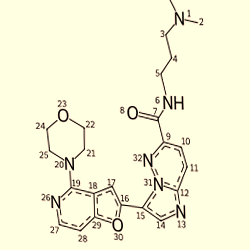 CN(C)CCCNC(=O)c1ccc2ncc(-c3cc4c(N5CCOCC5)nccc4o3)n2n1